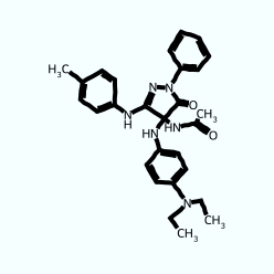 CCN(CC)c1ccc(NC2(NC(C)=O)C(=O)N(c3ccccc3)N=C2Nc2ccc(C)cc2)cc1